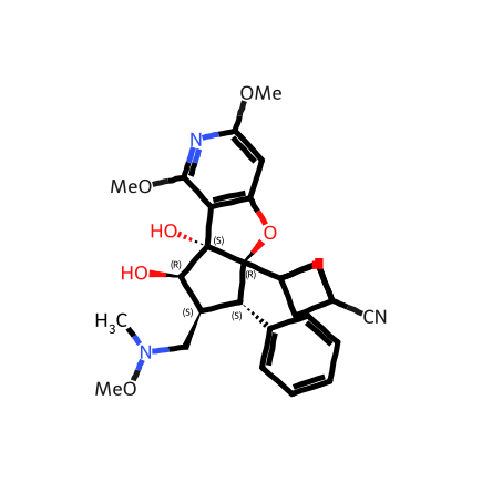 COc1cc2c(c(OC)n1)[C@]1(O)[C@H](O)[C@H](CN(C)OC)[C@@H](c3ccccc3)[C@]1(C13CC(C#N)(C1)C3)O2